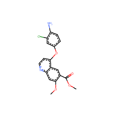 COC(=O)c1cc2c(Oc3ccc(N)c(Cl)c3)ccnc2cc1OC